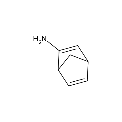 NC1=CC2C=CC1C2